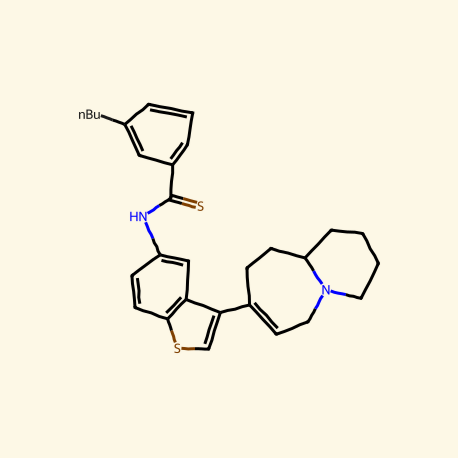 CCCCc1cccc(C(=S)Nc2ccc3scc(C4=CCN5CCCCC5CC4)c3c2)c1